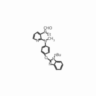 CCCCn1c(Oc2ccc(N(C)c3ncccc3N(C=O)CC)cc2)nc2ccccc21